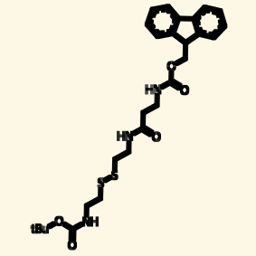 CC(C)(C)OC(=O)NCCSSCCNC(=O)CCNC(=O)OCC1c2ccccc2-c2ccccc21